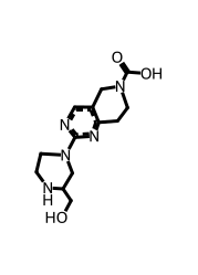 O=C(O)N1CCc2nc(N3CCNC(CO)C3)ncc2C1